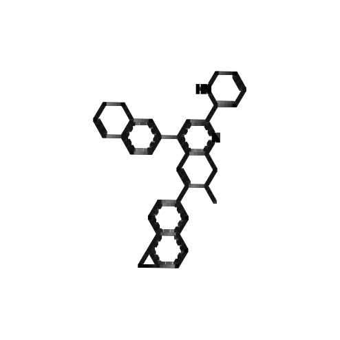 CC1Cc2nc(C3=CC=CCN3)cc(-c3ccc4c(c3)CCC=C4)c2C=C1c1ccc2c3c(ccc2c1)C3